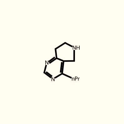 CCCc1ncnc2c1CNCC2